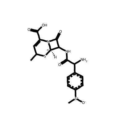 CC1C=C(C(=O)O)N2C(=O)C(NC(=O)C(N)c3ccc([S+](C)[O-])cc3)[C@H]2S1